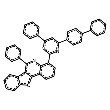 c1ccc(-c2ccc(-c3cc(-c4ccccc4)nc(-c4cccc5c4nc(-c4ccccc4)c4c6ccccc6oc54)n3)cc2)cc1